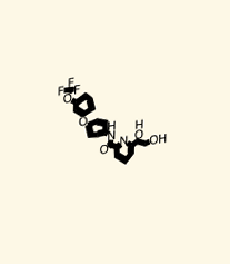 O=C(Nc1ccc(Oc2cccc(OC(F)(F)F)c2)cc1)c1cccc([C@H](O)CO)n1